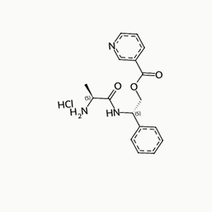 C[C@H](N)C(=O)N[C@H](COC(=O)c1cccnc1)c1ccccc1.Cl